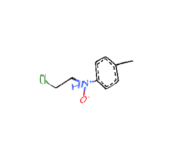 Cc1ccc([NH+]([O-])CCCl)cc1